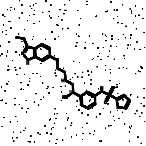 CCc1n[nH]c2cc(OCCNC[C@H](O)c3cccc(NS(=O)(=O)c4cccs4)c3)ccc12